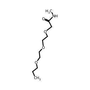 CCCOCCOCCOCC(=O)NC